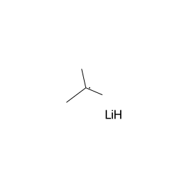 C[C](C)C.[LiH]